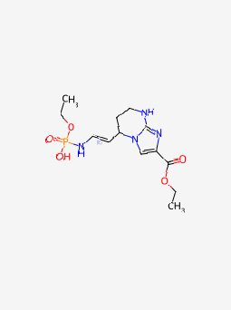 CCOC(=O)c1cn2c(n1)NCCC2/C=C/NP(=O)(O)OCC